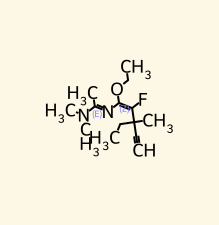 C#CC(C)(CC)/C(F)=C(\N=C(/C)N(C)C)OCC